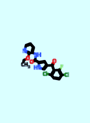 CCOc1ncccc1NC(=O)c1cc(C(=O)c2c(Cl)ccc(Cl)c2F)c[nH]1